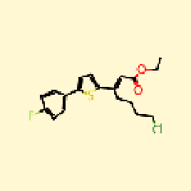 CCOC(=O)C=C(CCCCCl)c1ccc(-c2ccc(F)cc2)s1